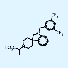 CC(C(=O)O)N1CCC(COCc2cc(C(F)(F)F)cc(C(F)(F)F)c2)(c2ccccc2)CC1